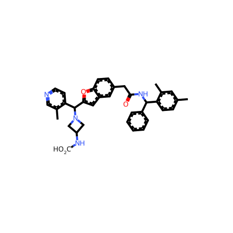 Cc1ccc(C(NC(=O)Cc2ccc3oc(C(c4ccncc4C)N4CC(NC(=O)O)C4)cc3c2)c2ccccc2)c(C)c1